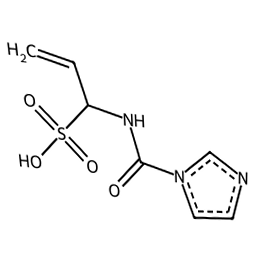 C=CC(NC(=O)n1ccnc1)S(=O)(=O)O